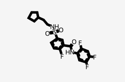 O=C(Nc1cc(F)c(F)cc1F)c1cc(S(=O)(=O)NCCC2CCCC2)ccc1F